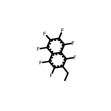 CCc1c(F)c(F)c2c(F)c(F)c(F)c(F)c2c1F